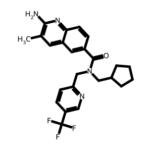 Cc1cc2cc(C(=O)N(Cc3ccc(C(F)(F)F)cn3)CC3CCCC3)ccc2nc1N